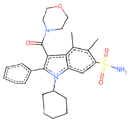 Cc1c(S(N)(=O)=O)cc2c(c1C)c(C(=O)N1CCOCC1)c(-c1ccccc1)n2C1CCCCC1